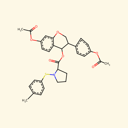 CC(=O)Oc1ccc(C2COc3cc(OC(C)=O)ccc3C2OC(=O)C2CCCN2Sc2ccc(C)cc2)cc1